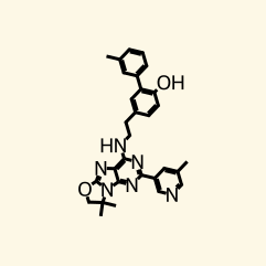 Cc1cncc(-c2nc(NCCc3ccc(O)c(-c4cccc(C)c4)c3)c3nc4n(c3n2)C(C)(C)CO4)c1